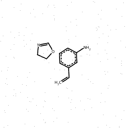 C=Cc1cccc(N)c1.[C]1=NCCO1